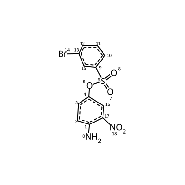 Nc1ccc(OS(=O)(=O)c2cccc(Br)c2)cc1[N+](=O)[O-]